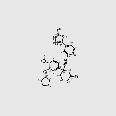 COc1ccc(C2(C#Cc3cccc(-c4nnc(C)s4)c3)CCCC(=O)C2)cc1OC1CCCC1